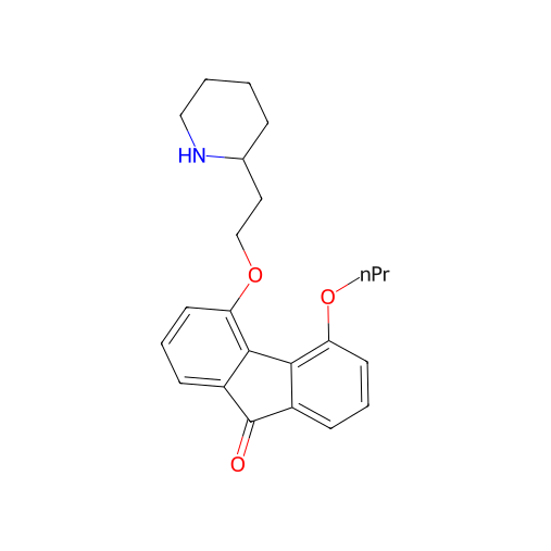 CCCOc1cccc2c1-c1c(OCCC3CCCCN3)cccc1C2=O